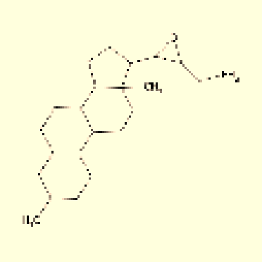 BCC1OC1C1CCC2C3CCC4CC(C)CCC4C3CCC21C